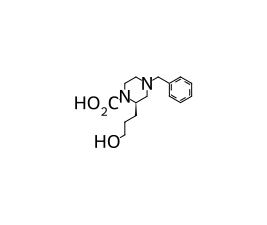 O=C(O)N1CCN(Cc2ccccc2)C[C@H]1CCCO